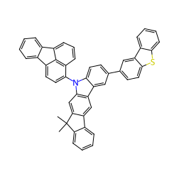 CC1(C)c2ccccc2-c2cc3c4cc(-c5ccc6sc7ccccc7c6c5)ccc4n(-c4ccc5c6c(cccc46)-c4ccccc4-5)c3cc21